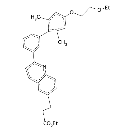 CCOCCOc1cc(C)c(-c2cccc(-c3ccc4cc(CCC(=O)OCC)ccc4n3)c2)c(C)c1